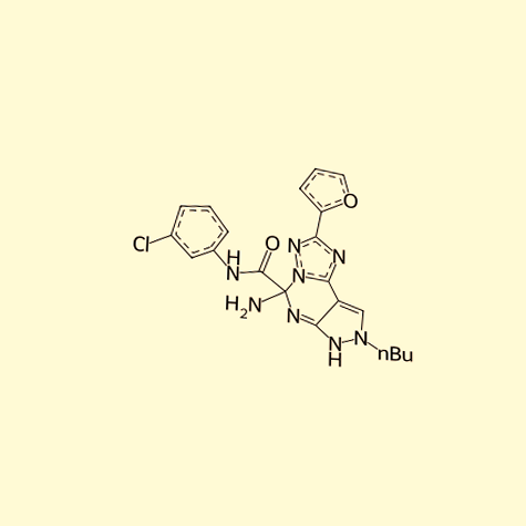 CCCCN1C=C2C(=NC(N)(C(=O)Nc3cccc(Cl)c3)n3nc(-c4ccco4)nc32)N1